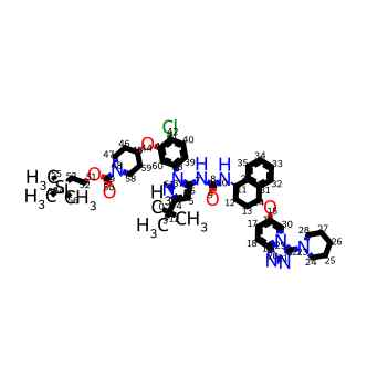 CC(C)(C)c1cc(NC(=O)N[C@H]2CC[C@@H](Oc3ccc4nnc(N5CCCCC5)n4c3)c3ccccc32)n(-c2ccc(Cl)c(OC3CCN(C(=O)OCC[Si](C)(C)C)CC3)c2)n1